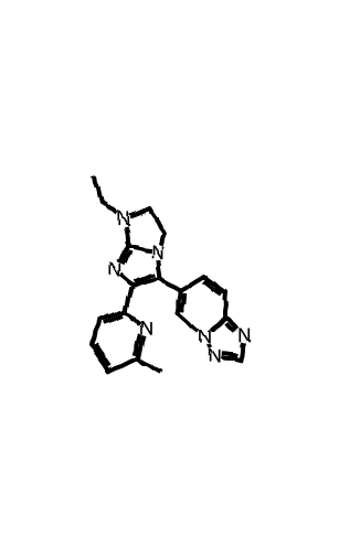 CCN1CCn2c1nc(-c1cccc(C)n1)c2-c1ccc2ncnn2c1